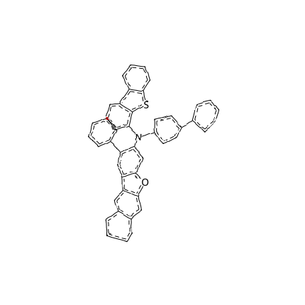 c1ccc(-c2ccc(N(c3cc4oc5cc6ccccc6cc5c4cc3-c3ccccc3)c3cccc4c3sc3ccccc34)cc2)cc1